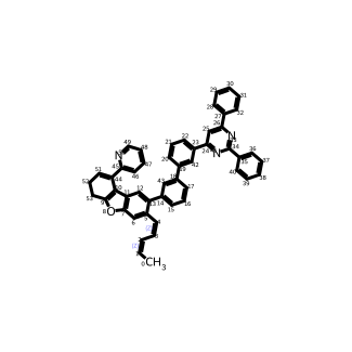 C/C=C\C=C/c1cc2oc3c(c2cc1-c1cccc(-c2cccc(-c4cc(-c5ccccc5)nc(-c5ccccc5)n4)c2)c1)C(c1ccccn1)=CCC3